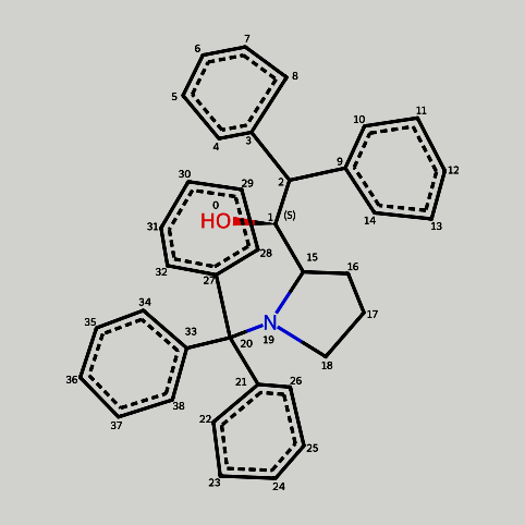 O[C@@H](C(c1ccccc1)c1ccccc1)C1CCCN1C(c1ccccc1)(c1ccccc1)c1ccccc1